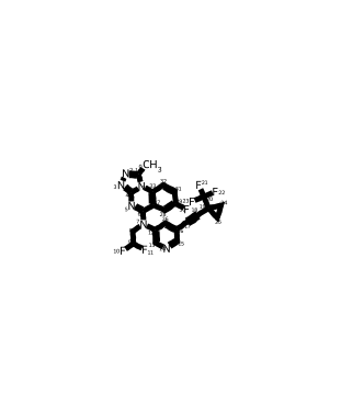 Cc1nnc2nc(N(CC(F)F)c3cncc(C#CC4(C(F)(F)F)CC4)c3)c3cc(F)ccc3n12